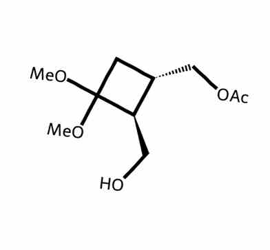 COC1(OC)C[C@H](COC(C)=O)[C@H]1CO